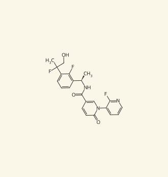 C[C@@H](NC(=O)c1ccc(=O)n(-c2cccnc2F)c1)c1cccc(C(C)(F)CO)c1F